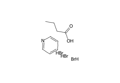 Br.Br.Br.CCCC(=O)O.c1ccncc1